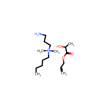 C=CCOC(=O)C(C)O.CCCCC[N+](C)(C)CCCN